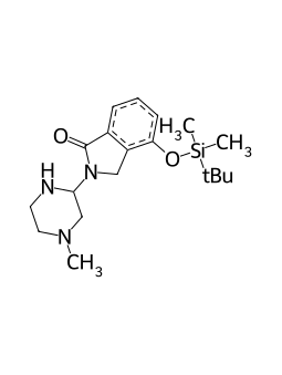 CN1CCNC(N2Cc3c(O[Si](C)(C)C(C)(C)C)cccc3C2=O)C1